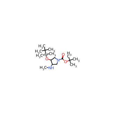 CNC1CN(C(=O)OC(C)(C)C)CC1O[Si](C)(C)C(C)(C)C